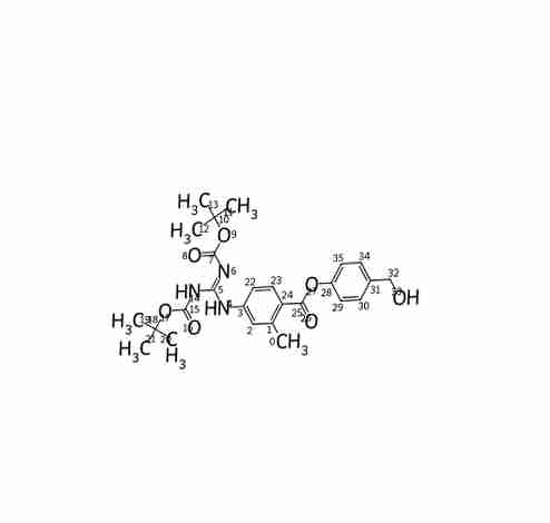 Cc1cc(NC(=NC(=O)OC(C)(C)C)NC(=O)OC(C)(C)C)ccc1C(=O)Oc1ccc(CO)cc1